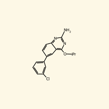 CC(C)Oc1nc(N)nc2ccc(-c3cccc(Cl)c3)cc12